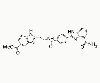 COC(=O)c1ccc2[nH]c(CCNC(=O)c3ccc(-c4nc5c(C(N)=O)cccc5[nH]4)cc3)nc2c1